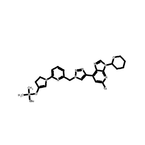 [2H]c1cc(-c2cn(Cc3cccc(N4C=C(O[Si](C)(C)C(C)(C)C)CC4)n3)nn2)c2ncn(C3CCCCO3)c2n1